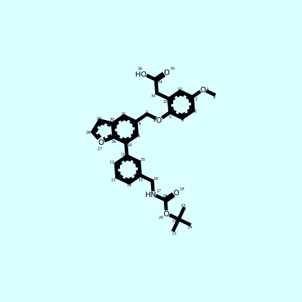 COc1ccc(OCc2cc(-c3cccc(CNC(=O)OC(C)(C)C)c3)c3occc3c2)c(CC(=O)O)c1